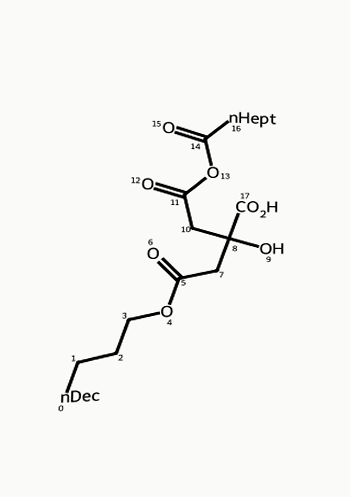 CCCCCCCCCCCCCOC(=O)CC(O)(CC(=O)OC(=O)CCCCCCC)C(=O)O